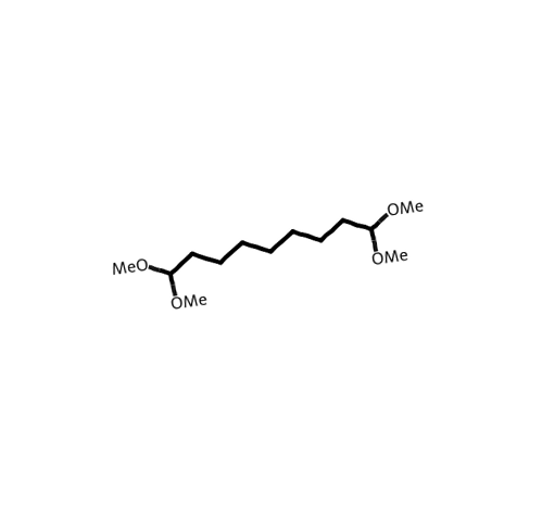 COC(CCCCCCCC(OC)OC)OC